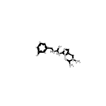 CC(=O)N(C)Cc1csc(NC(=O)NCc2cccc(F)c2)n1